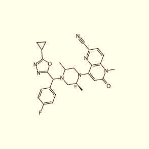 CC1CN(c2cc(=O)n(C)c3ccc(C#N)nc23)[C@@H](C)CN1C(c1ccc(F)cc1)c1nnc(C2CC2)o1